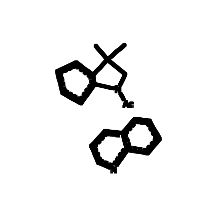 CC(=O)N1CC(C)(C)c2ccccc21.c1ccc2ncccc2c1